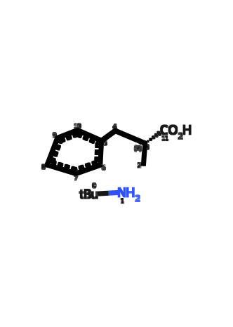 CC(C)(C)N.C[C@H](Cc1ccccc1)C(=O)O